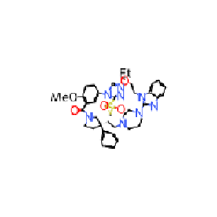 CCOCCn1c(N2CCCN(CC[C@]3(c4ccccc4)CCN(C(=O)c4cc(-n5cnnc5S(C)(=O)=O)ccc4OC)C3)CC2)nc2ccccc21